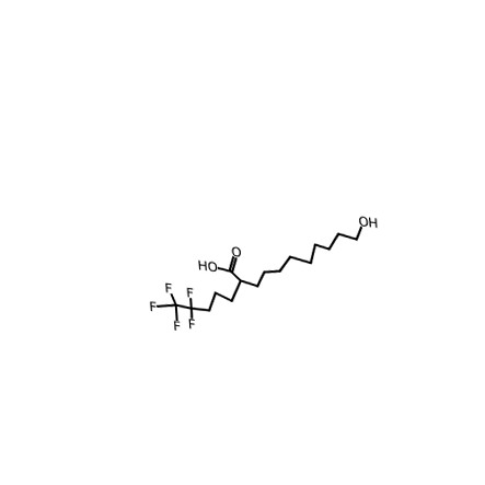 O=C(O)C(CCCCCCCCCO)CCCC(F)(F)C(F)(F)F